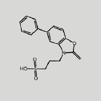 C=C1Oc2ccc(-c3ccccc3)cc2N1CCCS(=O)(=O)O